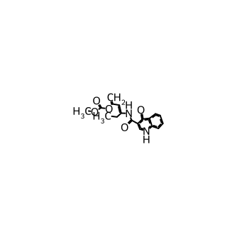 C=C(/C=C(\CC)NC(=O)c1c[nH]c2ccccc2c1=O)OC(=O)OC